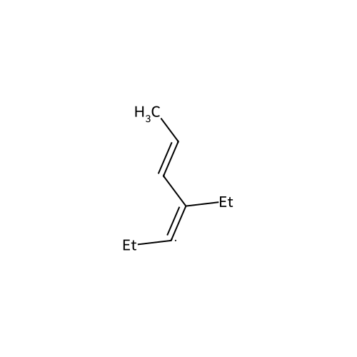 C/C=C/C(=[C]\CC)CC